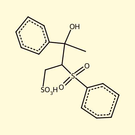 CC(O)(c1ccccc1)C(CS(=O)(=O)O)S(=O)(=O)c1ccccc1